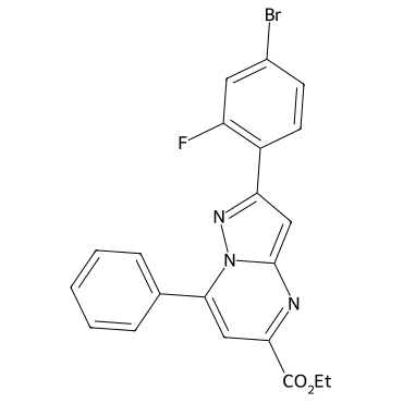 CCOC(=O)c1cc(-c2ccccc2)n2nc(-c3ccc(Br)cc3F)cc2n1